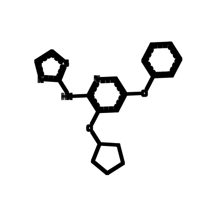 c1ccc(Oc2cnc(Nc3nccs3)c(OC3CCCC3)c2)cc1